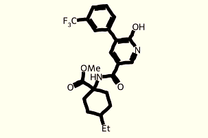 CCC1CCC(NC(=O)c2cnc(O)c(-c3cccc(C(F)(F)F)c3)c2)(C(=O)OC)CC1